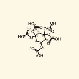 O=C(O)OC1CC(OC(=O)O)(OC(=O)O)CC(OC(=O)O)(OC(=O)O)C1